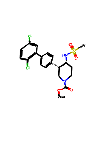 CC(C)S(=O)(=O)N[C@H]1CCN(C(=O)OC(C)(C)C)C[C@@H]1c1ccc(-c2cc(Cl)ccc2Cl)cc1